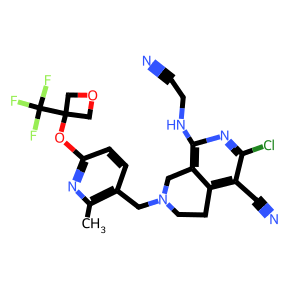 Cc1nc(OC2(C(F)(F)F)COC2)ccc1CN1CCc2c(C#N)c(Cl)nc(NCC#N)c2C1